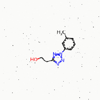 Cc1cccc(-n2nnc(CCO)n2)c1